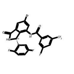 O=C(Nc1cc(Br)cc2c1[C@H](c1cc(F)ccc1F)NC2=O)c1cc(F)cc(C(F)(F)F)c1